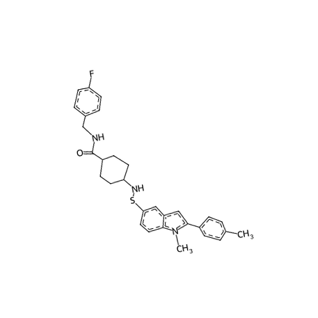 Cc1ccc(-c2cc3cc(SNC4CCC(C(=O)NCc5ccc(F)cc5)CC4)ccc3n2C)cc1